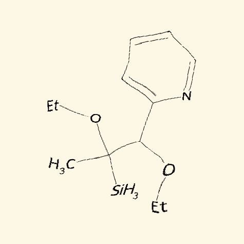 CCOC(c1ccccn1)C(C)([SiH3])OCC